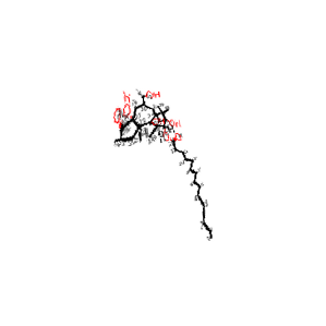 CCCCCCCCCCCCCC(=O)O[C@@H]1[C@@H](C)[C@]2(O)[C@@H]3C=C(C)C(=O)[C@@]3(O)CC(CO)CC23C[C@]1(O)C3(C)C